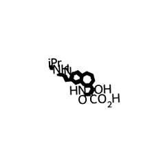 CC(C)CNCc1cc2cc3c(cc2n1C)CCCc1c-3[nH]c(=O)c(C(=O)O)c1O